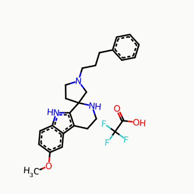 COc1ccc2[nH]c3c(c2c1)CCNC31CCN(CCCc2ccccc2)C1.O=C(O)C(F)(F)F